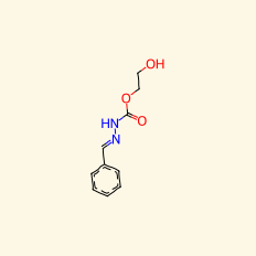 O=C(NN=Cc1ccccc1)OCCO